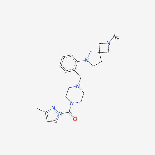 CC(=O)N1CC2(CCN(c3ccccc3CN3CCN(C(=O)n4ccc(C)n4)CC3)C2)C1